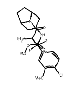 COc1cc(C(F)(F)C(N)C(=O)N2C3CCC2CC(NC(=O)OC(C)(C)C)C3)ccc1Cl